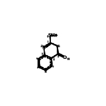 CSC1=Nc2ccccc2C(=O)C1